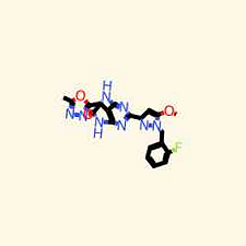 COc1cc(-c2nc3c4c(n2)NC4(c2nnc(C)o2)C(=O)N3)nn1Cc1ccccc1F